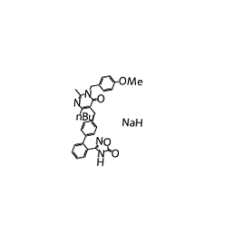 CCCCc1nc(C)n(Cc2ccc(OC)cc2)c(=O)c1Cc1ccc(-c2ccccc2-c2noc(=O)[nH]2)cc1.[NaH]